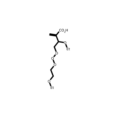 C=C(C(=O)O)C(COOOCCOCC)OCC